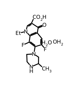 CCn1cc(C(=O)O)c(=O)c2cc(F)c(N3CCNC(C)C3)c(F)c21.O.O